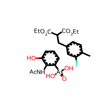 CC(=O)Nc1c(O)cccc1[As](=O)(O)O.CCOC(=O)C(Cc1ccc(C)c(F)c1)C(=O)OCC